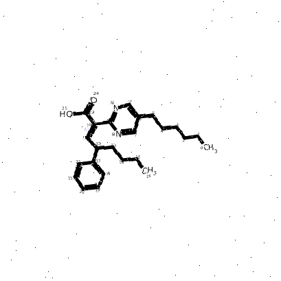 CCCCCCc1cnc(/C(=C\C(CCCC)c2ccccc2)C(=O)O)nc1